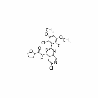 COc1cc(OC)c(Cl)c(-c2nc(NC(=O)C3CCCO3)c3cc(Cl)ncc3n2)c1Cl